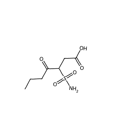 CCCC(=O)C(CC(=O)O)S(N)(=O)=O